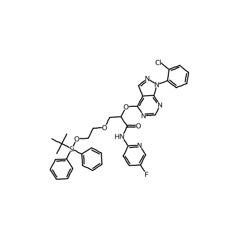 CC(C)(C)[Si](OCCOCC(Oc1ncnc2c1cnn2-c1ccccc1Cl)C(=O)Nc1ccc(F)cn1)(c1ccccc1)c1ccccc1